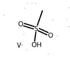 CS(=O)(=O)O.[V]